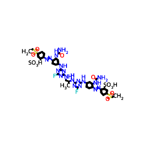 C=CS(=O)(=O)c1ccc(/N=N/c2ccc(Nc3nc(F)nc(NCC(C)Nc4nc(F)nc(Nc5ccc(/N=N/c6ccc(S(=O)(=O)C=C)cc6S(=O)(=O)O)c(NC(N)=O)c5)n4)n3)cc2NC(N)=O)c(S(=O)(=O)O)c1